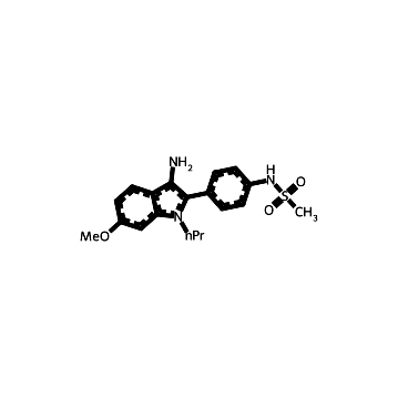 CCCn1c(-c2ccc(NS(C)(=O)=O)cc2)c(N)c2ccc(OC)cc21